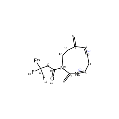 C=C1/C=C\C/C=N\C(=C)N(C(=O)CC(F)(F)F)CC1